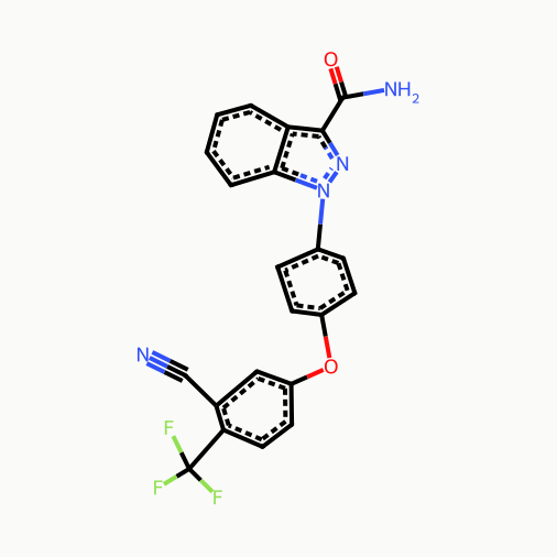 N#Cc1cc(Oc2ccc(-n3nc(C(N)=O)c4ccccc43)cc2)ccc1C(F)(F)F